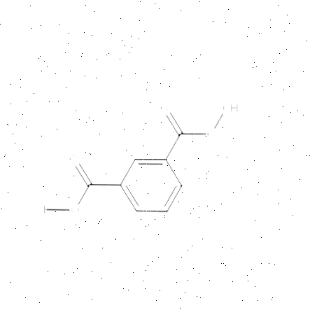 COC(=O)c1cccc(C(=O)OCl)c1